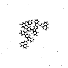 Cc1cc(C)c(B(c2cc(-n3c4ccccc4c4cc5c(cc43)c3ccccc3n5-c3cc4c5c(cccc5c3)C=CC4)cc(-n3c4ccccc4c4cc5c(cc43)c3ccccc3n5-c3cc4c5c(cccc5c3)C=CC4)c2)c2c(C)cc(C)cc2C)c(C)c1